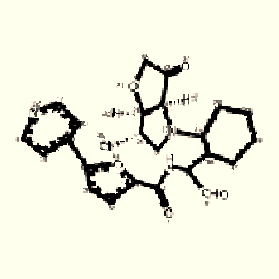 O=CC(NC(=O)c1ccc(-c2ccncc2)o1)C1CCCC[C@@H]1N1C[C@H](Cl)[C@H]2OCC(=O)[C@H]21